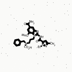 CCn1nc(C)cc1C(=O)Nc1nc2cc(C(N)=O)cc(OC)c2n1CCCN(Cc1ccccc1)C(=O)O